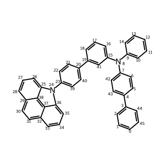 c1ccc(-c2ccc(N(c3ccccc3)c3cccc(-c4ccc(-n5c6cccc7ccc8cccc5c8c76)cc4)c3)cc2)cc1